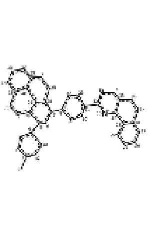 Cc1ccc(-c2cc(-c3ccc(-c4ccc5ccc6ccccc6c5n4)cc3)c3ccc4cccc5ccc2c3c54)cc1